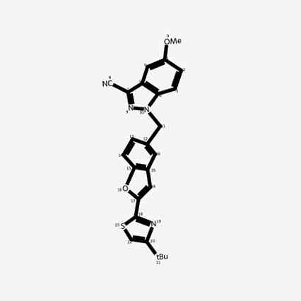 COc1ccc2c(c1)c(C#N)nn2Cc1ccc2oc(-c3nc(C(C)(C)C)cs3)cc2c1